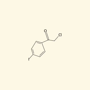 O=C(CCl)c1ccc(I)cc1